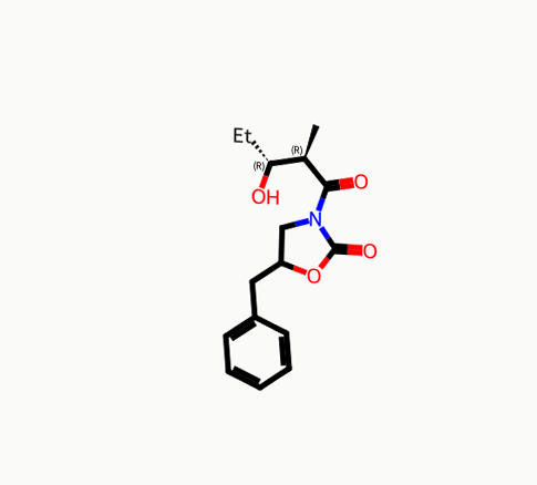 CC[C@@H](O)[C@@H](C)C(=O)N1CC(Cc2ccccc2)OC1=O